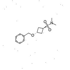 CN(C)S(=O)(=O)[C@H]1C[C@H](OCc2ccccc2)C1